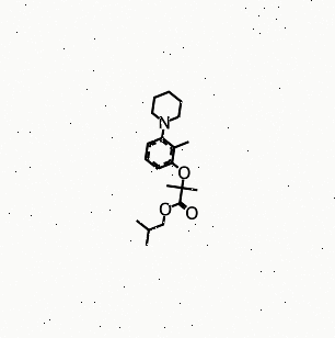 Cc1c(OC(C)(C)C(=O)OCC(C)C)cccc1N1CCCCC1